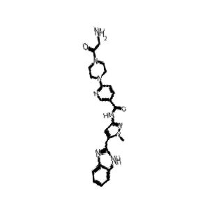 Cn1nc(NC(=O)c2ccc(N3CCN(C(=O)CN)CC3)nc2)cc1-c1nc2ccccc2[nH]1